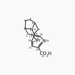 CC(C)N1CC2CCC(C1)N2c1ccc(C(=O)O)nc1